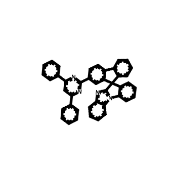 c1ccc(-c2cc(-c3ccccc3)nc(-c3ccc4c(c3)C3(c5ccccc5-4)c4ccccc4-n4c3nc3ccccc34)n2)cc1